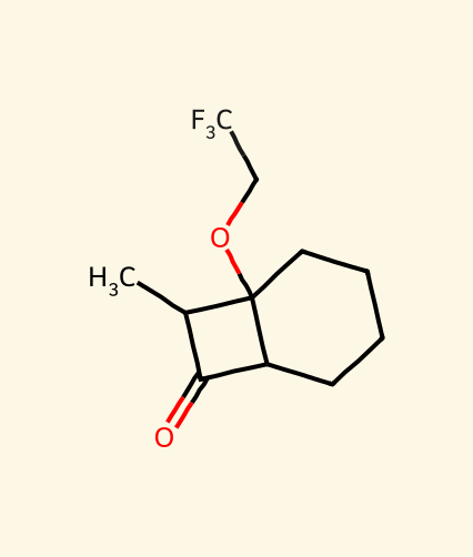 CC1C(=O)C2CCCCC12OCC(F)(F)F